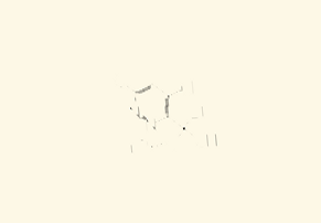 CCCCCC(C)(CC)c1nnc(C)cc1Cl